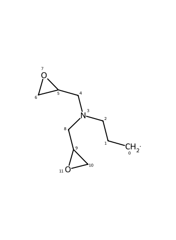 [CH2]CCN(CC1CO1)CC1CO1